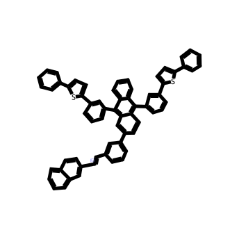 C(=C\c1ccc2ccccc2c1)/c1cccc(-c2ccc3c(-c4cccc(-c5ccc(-c6ccccc6)s5)c4)c4ccccc4c(-c4cccc(-c5ccc(-c6ccccc6)s5)c4)c3c2)c1